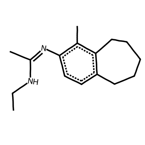 CCN/C(C)=N\c1ccc2c(c1C)CCCCC2